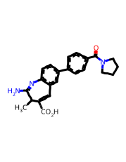 CC1C(C(=O)O)=Cc2cc(-c3ccc(C(=O)N4CCCC4)cc3)ccc2N=C1N